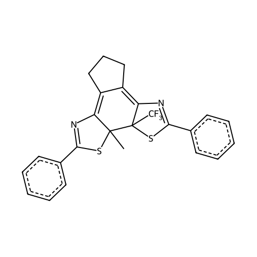 CC12SC(c3ccccc3)=NC1=C1CCCC1=C1N=C(c3ccccc3)SC12C(F)(F)F